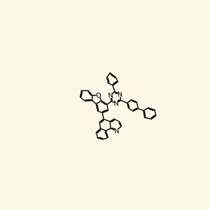 c1ccc(-c2ccc(-c3nc(-c4ccccc4)nc(-c4cc(-c5cc6ccccc6c6ncccc56)cc5c4oc4ccccc45)n3)cc2)cc1